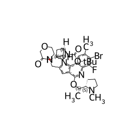 Cc1cc2c(nc(O[C@@H](C)[C@@H]3CCCN3C)c3cc(CN4CCOCC4=O)n([C@H]4[C@@H]5C[C@H]4N(C(=O)OC(C)(C)C)C5)c32)c(F)c1Br